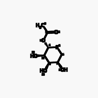 CC(=O)O[C@@H]1SC[C@@H](O)[C@@H](O)[C@H]1O